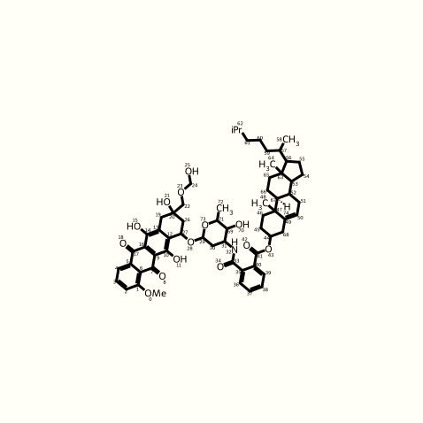 COc1cccc2c1C(=O)c1c(O)c3c(c(O)c1C2=O)CC(O)(COCO)CC3OC1CC(NC(=O)c2ccccc2C(=O)OC2CCC3(C)C(=CCC4C5CCC(C(C)CCCC(C)C)C5(C)CC[C@@H]43)C2)C(O)C(C)O1